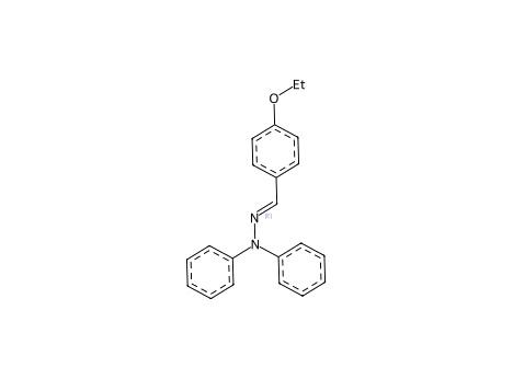 CCOc1ccc(/C=N/N(c2ccccc2)c2ccccc2)cc1